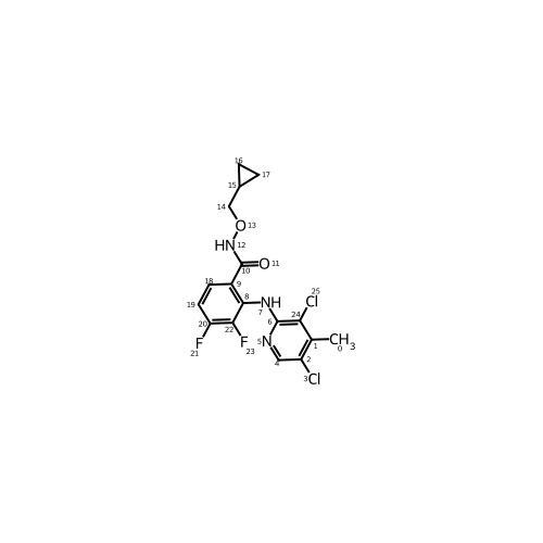 Cc1c(Cl)cnc(Nc2c(C(=O)NOCC3CC3)ccc(F)c2F)c1Cl